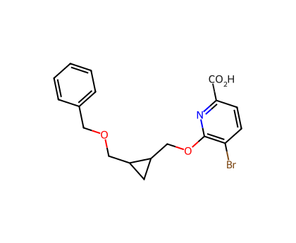 O=C(O)c1ccc(Br)c(OCC2CC2COCc2ccccc2)n1